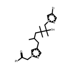 CCc1cnn(CC(C)(O)C(C)(C)CC(C)Cc2cnn(CC(=O)C(C)C)c2)c1